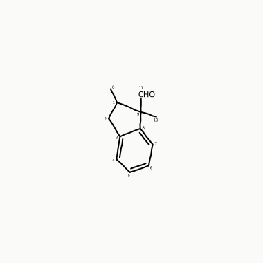 CC1Cc2ccccc2C1(C)C=O